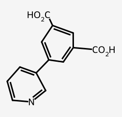 O=C(O)c1cc(C(=O)O)cc(-c2cccnc2)c1